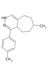 Cc1ccc(C2=NNC=C3CCC(C)CCC32)cc1